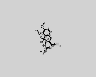 COc1ccc(Cc2cnc(N)nc2N)c(C(C)(C)C)c1OC